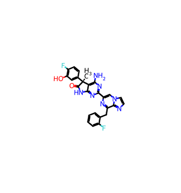 C[C@]1(c2ccc(F)c(O)c2)C(=O)Nc2nc(-c3cn4ccnc4c(Cc4ccccc4F)n3)nc(N)c21